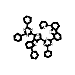 c1ccc(-c2nc(-c3cccc4c3oc3c(-c5ccccc5)cccc34)nc(-c3ccc(-c4nc(-c5ccccc5)nc(-c5ccccc5)n4)c4c3sc3c(-c5ccccc5)cccc34)n2)cc1